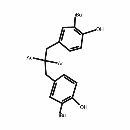 CCC(C)c1cc(CC(Cc2ccc(O)c(C(C)CC)c2)(C(C)=O)C(C)=O)ccc1O